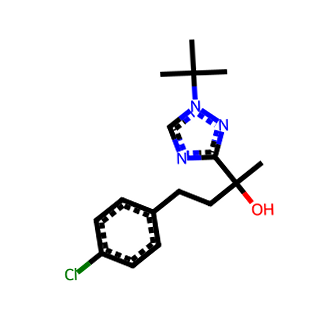 CC(O)(CCc1ccc(Cl)cc1)c1ncn(C(C)(C)C)n1